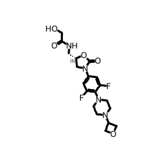 O=C(CO)NC[C@H]1CN(c2cc(F)c(N3CCN(C4COC4)CC3)c(F)c2)C(=O)O1